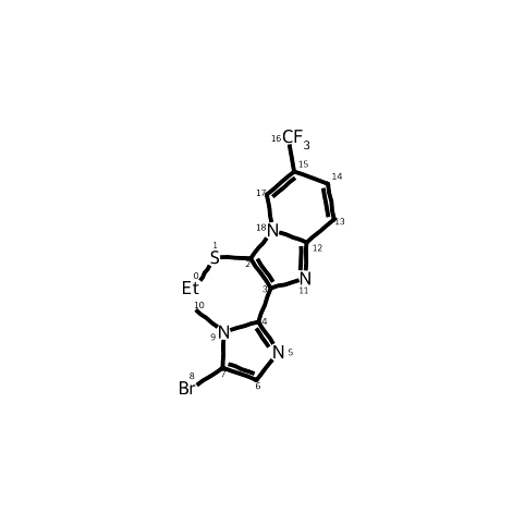 CCSc1c(-c2ncc(Br)n2C)nc2ccc(C(F)(F)F)cn12